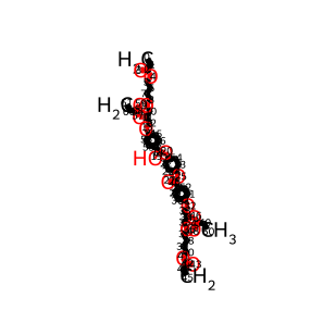 C=CC(=O)OCCCCOCC(COc1ccc([C@H](O)OC2CCC(OC(=O)c3ccc(OCC(COCCCCOC(=O)C=C)OC(=O)CC)cc3)CC2)cc1)OC(=O)C=C